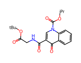 CC(C)OC(=O)n1cc(C(=O)NCC(=O)OC(C)(C)C)c(=O)c2ccccc21